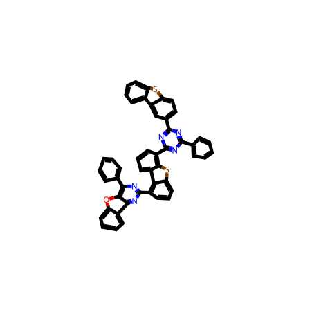 c1ccc(-c2nc(-c3ccc4sc5ccccc5c4c3)nc(-c3cccc4c3sc3cccc(-c5nc(-c6ccccc6)c6oc7ccccc7c6n5)c34)n2)cc1